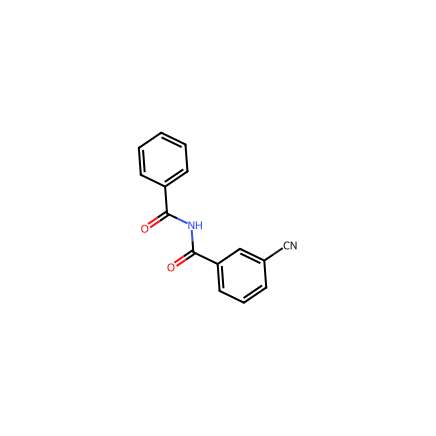 N#Cc1cccc(C(=O)NC(=O)c2ccccc2)c1